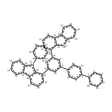 c1ccc(-c2ccc(-c3cc(-c4cccc5c4sc4ccccc45)nc(-c4cccc5c6ccccc6n(-c6ccccc6)c45)c3)cc2)cc1